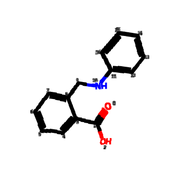 O=C(O)c1ccccc1CNc1ccccc1